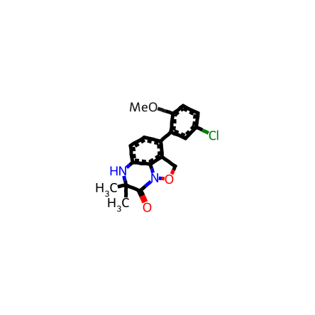 COc1ccc(Cl)cc1-c1ccc2c3c1CON3C(=O)C(C)(C)N2